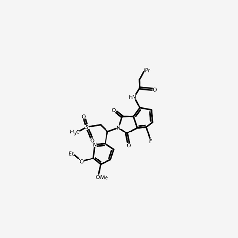 CCOc1nc(C(CS(C)(=O)=O)N2C(=O)c3c(F)ccc(NC(=O)CC(C)C)c3C2=O)ccc1OC